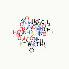 CC(NC(=O)C(NC(=O)CCCCCN1C(=O)C=CC1=O)C(C)C)C(=O)NCCCN(C(=O)CSCCC(=O)NCCC(=O)NC(CC(=O)O)C(=O)O)C(c1cc(-c2cc(F)ccc2F)cn1Cc1ccccc1)C(C)(C)C